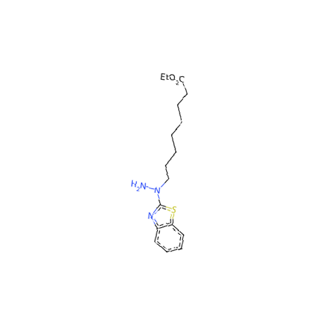 CCOC(=O)CCCCCCCN(N)c1nc2ccccc2s1